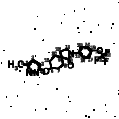 Cc1ccc(OC2CCC3(CC2)CCN(c2ccc(OC(F)(F)F)cc2)C3=O)nn1